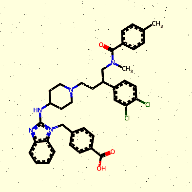 Cc1ccc(C(=O)N(C)CC(CCN2CCC(Nc3nc4ccccc4n3Cc3ccc(C(=O)O)cc3)CC2)c2ccc(Cl)c(Cl)c2)cc1